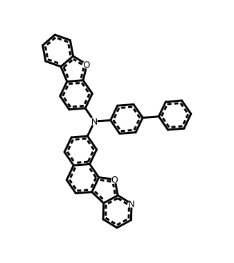 c1ccc(-c2ccc(N(c3ccc4c(c3)oc3ccccc34)c3ccc4ccc5c6cccnc6oc5c4c3)cc2)cc1